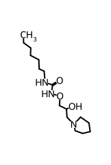 CCCCCCCNC(=O)NOCC(O)CN1CCCCC1